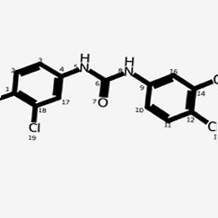 Cc1ccc(NC(=O)Nc2ccc(Cl)c(C(F)(F)F)c2)cc1Cl